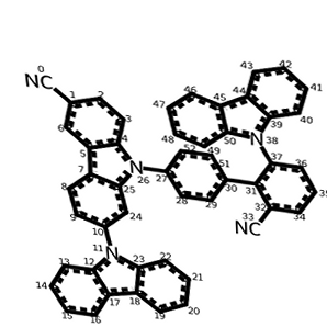 N#Cc1ccc2c(c1)c1ccc(-n3c4ccccc4c4ccccc43)cc1n2-c1ccc(-c2c(C#N)cccc2-n2c3ccccc3c3ccccc32)cc1